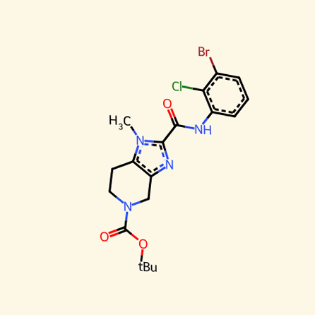 Cn1c(C(=O)Nc2cccc(Br)c2Cl)nc2c1CCN(C(=O)OC(C)(C)C)C2